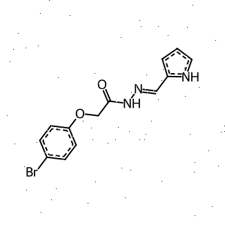 O=C(COc1ccc(Br)cc1)N/N=C/c1ccc[nH]1